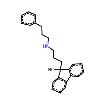 N#CC1(CCCNCCCc2ccccc2)c2ccccc2-c2ccccc21